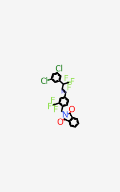 O=C1c2ccccc2C(=O)N1Cc1ccc(/C=C/C(c2cc(Cl)cc(Cl)c2)C(F)(F)F)cc1C(F)(F)F